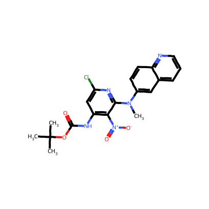 CN(c1ccc2ncccc2c1)c1nc(Cl)cc(NC(=O)OC(C)(C)C)c1[N+](=O)[O-]